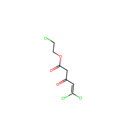 O=C(C=C(Cl)Cl)CC(=O)OCCCl